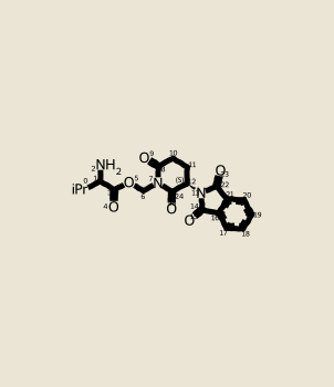 CC(C)C(N)C(=O)OCN1C(=O)CC[C@H](N2C(=O)c3ccccc3C2=O)C1=O